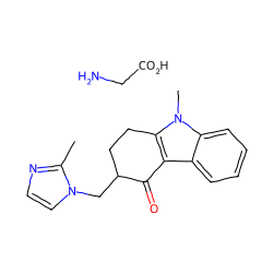 Cc1nccn1CC1CCc2c(c3ccccc3n2C)C1=O.NCC(=O)O